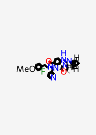 COc1ccc(CCn2c(-c3cccnc3)nc3cc(N/C(=N/[C@H]4C[C@@H]5C[C@H]([C@@H]4C)C5(C)C)N4C[C@@H](C)O[C@@H](C)C4)ccc3c2=O)c(F)c1